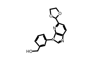 OCc1cccc(-n2cnc3ccc(C4OCCO4)nc32)c1